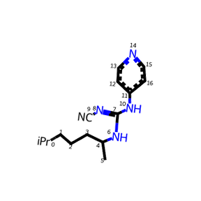 CC(C)CCCC(C)NC(=NC#N)Nc1ccncc1